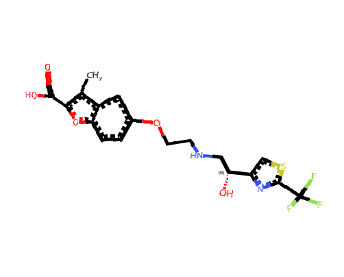 Cc1c(C(=O)O)oc2ccc(OCCNC[C@@H](O)c3csc(C(F)(F)F)n3)cc12